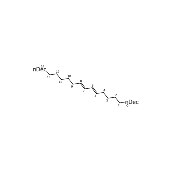 CCCCCCCCCCCCCCC=CC=CCCCCCCCCCCCCCCC